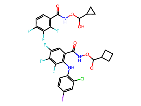 O=C(NOC(O)C1CC1)c1ccc(F)c(F)c1F.O=C(NOC(O)C1CCC1)c1cc(F)c(F)c(F)c1Nc1ccc(I)cc1Cl